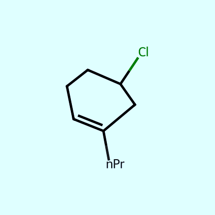 CCCC1=CCCC(Cl)C1